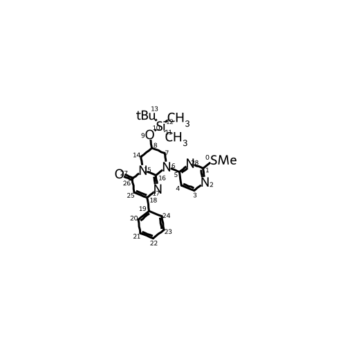 CSc1nccc(N2CC(O[Si](C)(C)C(C)(C)C)Cn3c2nc(-c2ccccc2)cc3=O)n1